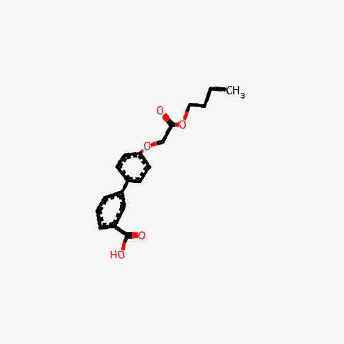 CCCCOC(=O)COc1ccc(-c2cccc(C(=O)O)c2)cc1